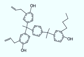 C=CCc1cc(C(C)(c2ccc(C(C)(C)c3ccc(O)c(CCCC)c3)cc2)c2ccc(O)c(CC=C)c2)ccc1O